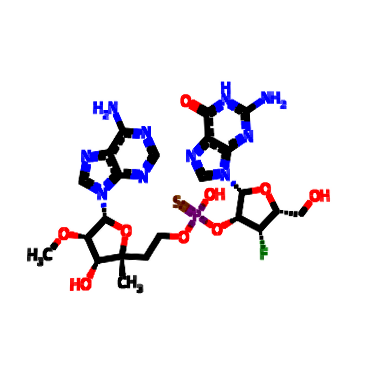 CO[C@H]1[C@H](n2cnc3c(N)ncnc32)O[C@](C)(CCOP(O)(=S)O[C@@H]2[C@@H](F)[C@@H](CO)O[C@H]2n2cnc3c(=O)[nH]c(N)nc32)[C@H]1O